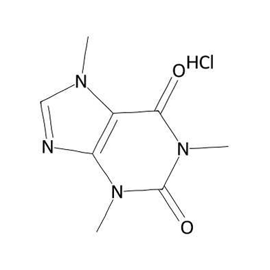 Cl.Cn1c(=O)c2c(ncn2C)n(C)c1=O